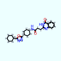 O=C(CCc1nc2ccccc2c(=O)[nH]1)N[C@H]1CC[C@H](c2nnc(C3CCCCC3)o2)CC1